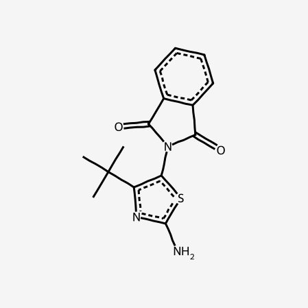 CC(C)(C)c1nc(N)sc1N1C(=O)c2ccccc2C1=O